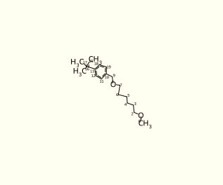 COCCCCCCOCc1ccc(C(C)(C)C)cc1